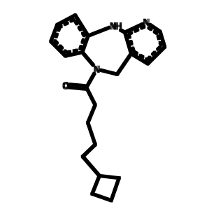 O=C(CCCCC1CCC1)N1Cc2cccnc2Nc2ccccc21